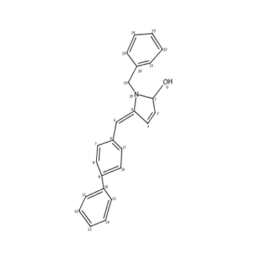 OC1C=C/C(=C\c2ccc(-c3ccccc3)cc2)N1Cc1ccccc1